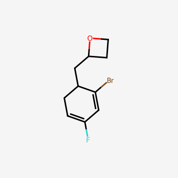 FC1=CCC(CC2CCO2)C(Br)=C1